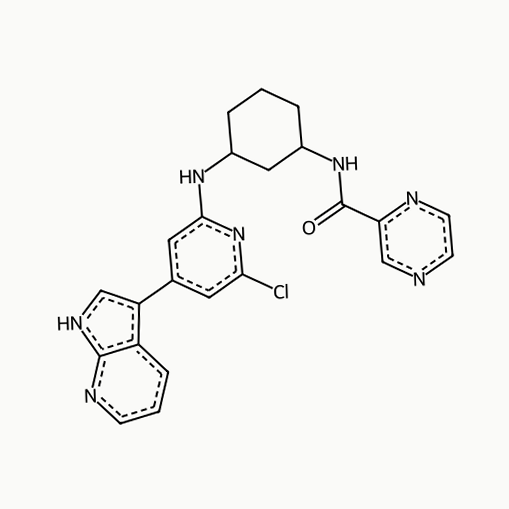 O=C(NC1CCCC(Nc2cc(-c3c[nH]c4ncccc34)cc(Cl)n2)C1)c1cnccn1